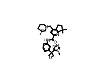 C[C@H]1CCCN(Cc2cc(C(=O)Nc3cccc(C4(c5nncn5C)COC4)c3)nc3c2CCC3(C)C)C1